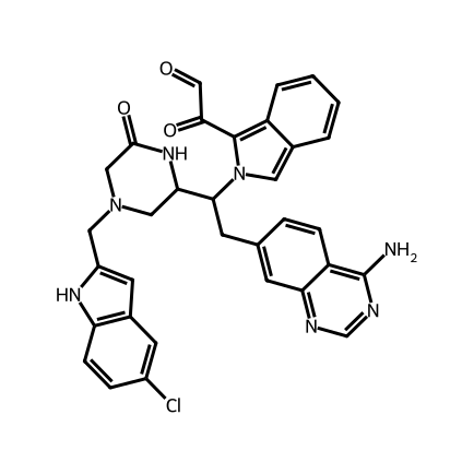 Nc1ncnc2cc(CC(C3CN(Cc4cc5cc(Cl)ccc5[nH]4)CC(=O)N3)n3cc4ccccc4c3C(=O)C=O)ccc12